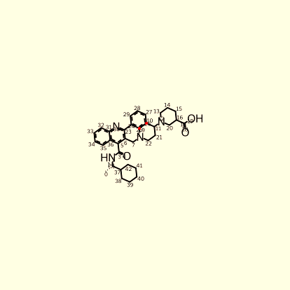 C[C@H](NC(=O)c1c(CN2CCC(N3CCCC(C(=O)O)C3)CC2)c(-c2ccccc2)nc2ccccc12)C1CCCCC1